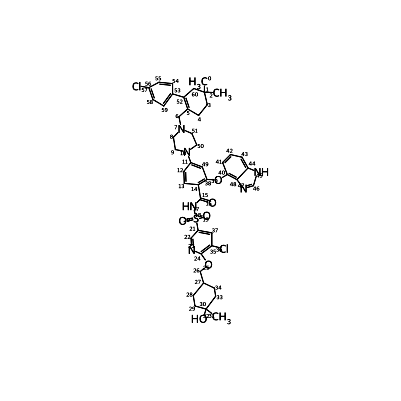 CC1(C)CCC(CN2CCN(c3ccc(C(=O)NS(=O)(=O)c4cnc(OCC5CCC(C)(O)CC5)c(Cl)c4)c(Oc4cccc5[nH]cnc45)c3)CC2)=C(c2ccc(Cl)cc2)C1